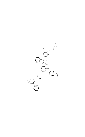 C=C(c1ccc(N2CCN(CC3=C(c4ccc(Cl)cc4)CC(C)(C)CC3)CC2)cc1Cc1cnc2[nH]ccc2c1)P(=C)(C)N(c1ccccc1)c1cc2c(c(NC)c1)NC(CCN(C)C)C2